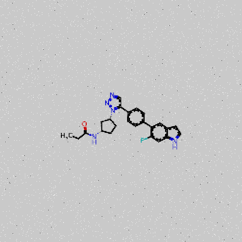 CCC(=O)N[C@H]1CC[C@@H](n2nncc2-c2ccc(-c3cc4cc[nH]c4cc3F)cc2)C1